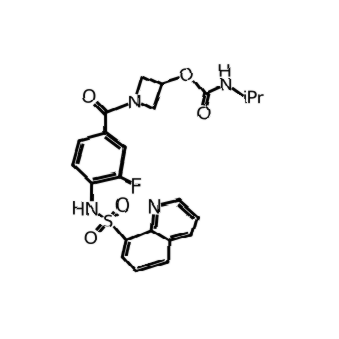 CC(C)NC(=O)OC1CN(C(=O)c2ccc(NS(=O)(=O)c3cccc4cccnc34)c(F)c2)C1